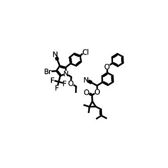 CC(C)=CC1C(C(=O)OC(C#N)c2cccc(Oc3ccccc3)c2)C1(C)C.CCOCn1c(-c2ccc(Cl)cc2)c(C#N)c(Br)c1C(F)(F)F